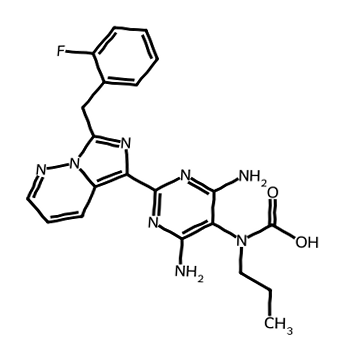 CCCN(C(=O)O)c1c(N)nc(-c2nc(Cc3ccccc3F)n3ncccc23)nc1N